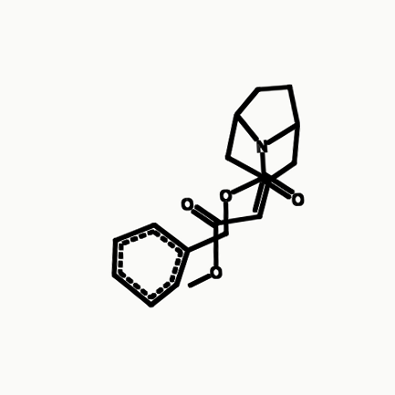 COC(=O)C=C1CC2CCC(C1)N2C(=O)OCc1ccccc1